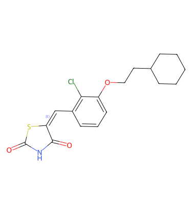 O=C1NC(=O)/C(=C\c2cccc(OCCC3CCCCC3)c2Cl)S1